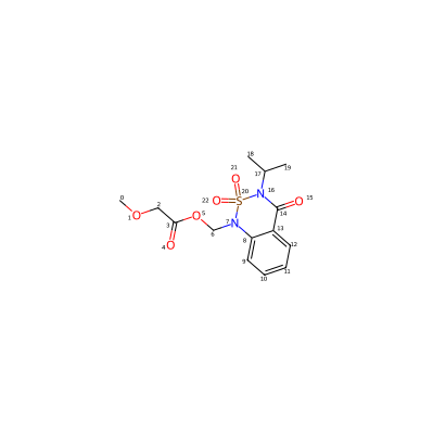 COCC(=O)OCN1c2ccccc2C(=O)N(C(C)C)S1(=O)=O